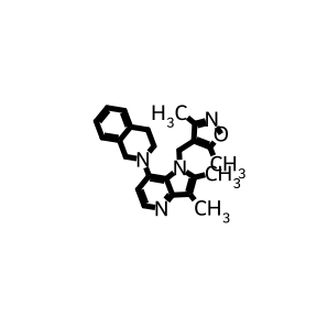 Cc1noc(C)c1Cn1c(C)c(C)c2nccc(N3CCc4ccccc4C3)c21